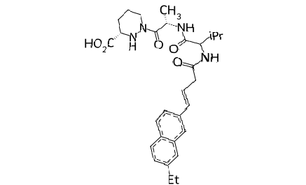 CCc1ccc2ccc(/C=C/CC(=O)NC(C(=O)N[C@@H](C)C(=O)N3CCC[C@@H](C(=O)O)N3)C(C)C)cc2c1